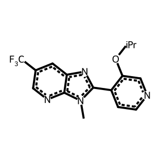 CC(C)Oc1cnccc1-c1nc2cc(C(F)(F)F)cnc2n1C